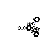 O=C1CCCC/C1=N/Nc1cc(C(=O)O)ccc1OS(=O)(=O)c1ccccc1F